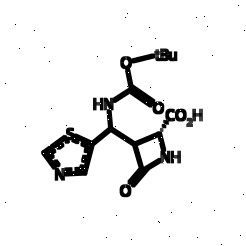 CC(C)(C)OC(=O)NC(c1cncs1)C1C(=O)N[C@H]1C(=O)O